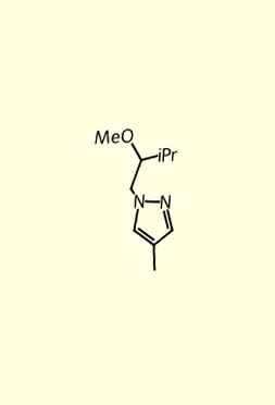 COC(Cn1cc(C)cn1)C(C)C